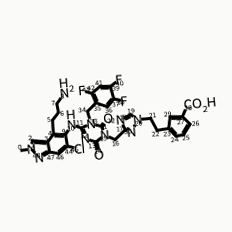 Cn1cc2c(CCCN)c(Nc3nc(=O)n(Cc4ncn(CCc5cccc(C(=O)O)c5)n4)c(=O)n3Cc3cc(F)c(F)cc3F)c(Cl)cc2n1